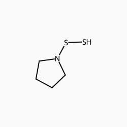 SSN1CCCC1